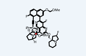 COCOc1cc(-c2ncc3c(N4C[C@H]5CC[C@@H](C4)N5C(=O)OC(C)(C)C)nc(OC[C@@]45CCCCN4C[C@H](F)C5)nc3c2F)c2c(C#C[Si](C(C)C)(C(C)C)C(C)C)c(F)ccc2c1